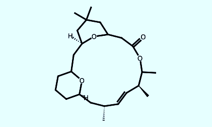 CC1OC(=O)CC2CC(C)(C)C[C@H](CC3CCC[C@H](C[C@@H](C)/C=C/[C@@H]1C)O3)O2